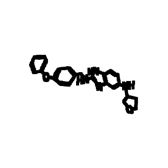 c1ccc(Oc2ccc(CNc3nc4cc(NC5CCOC5)ccc4[nH]3)cc2)cc1